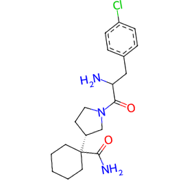 NC(=O)C1([C@@H]2CCN(C(=O)C(N)Cc3ccc(Cl)cc3)C2)CCCCC1